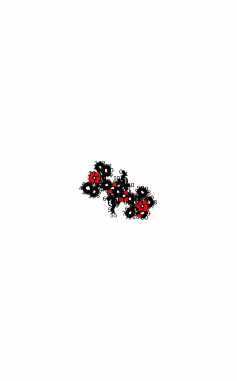 CCCO[Si](c1c2cc3cc(N(c4ccccc4)c4cccc5ccccc45)c(N(c4ccccc4)c4cccc5ccccc45)cc3cc2c([Si](OCCC)(C(C)C)C(C)C)c2cc3cc(N(c4ccccc4)c4cccc5ccccc45)c(N(c4ccccc4)c4cccc5ccccc45)cc3cc12)(C(C)C)C(C)C